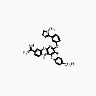 CCOC(=O)c1ccc(Oc2c(F)c(Oc3cccc(C4=NCCN4C)c3)nc(Oc3cc(C(=N)N)ccc3O)c2F)cc1